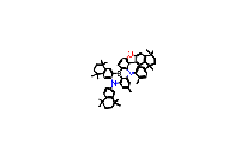 Cc1cc2c3c(c1)N(c1ccccc1C)c1c(ccc4oc5cc6c(cc5c14)C(C)(C)CCC6(C)C)B3c1cc3c(cc1N2c1ccc2c(c1)C(C)(C)CCC2(C)C)C(C)(C)CCC3(C)C